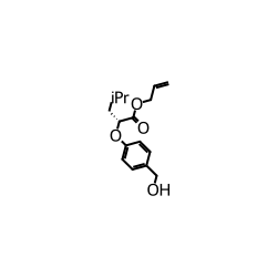 C=CCOC(=O)[C@@H](CC(C)C)Oc1ccc(CO)cc1